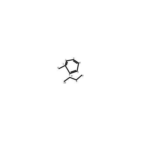 Cc1ccccc1.[CH2]CCC